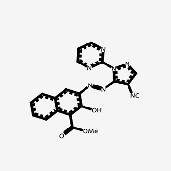 [C-]#[N+]c1cnn(-c2ncccn2)c1/N=N/c1cc2ccccc2c(C(=O)OC)c1O